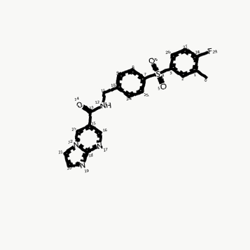 Cc1cc(S(=O)(=O)c2ccc(CNC(=O)c3cnc4nccn4c3)cc2)ccc1F